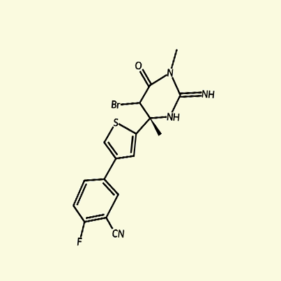 CN1C(=N)N[C@](C)(c2cc(-c3ccc(F)c(C#N)c3)cs2)C(Br)C1=O